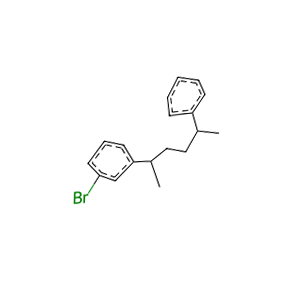 CC(CCC(C)c1cccc(Br)c1)c1ccccc1